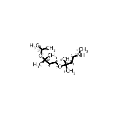 CNCCC(C)(C)OCCC(C)(C)OC(C)C